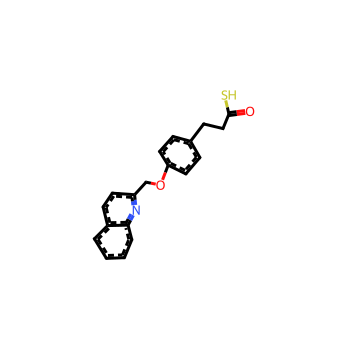 O=C(S)CCc1ccc(OCc2ccc3ccccc3n2)cc1